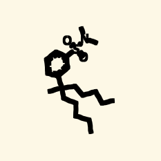 CCCCCC(C)(CCCCC)c1cccc(S(=O)(=O)N(C)C)c1